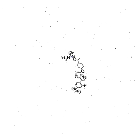 C=C(O/N=C(\N)C(C)C)C1CCC(Oc2ccnc3c(-c4ccc(S(C)(=O)=O)cc4F)cnn23)CC1